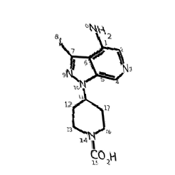 Nc1cncc2c1c(I)nn2C1CCN(C(=O)O)CC1